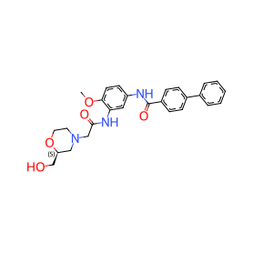 COc1ccc(NC(=O)c2ccc(-c3ccccc3)cc2)cc1NC(=O)CN1CCO[C@H](CO)C1